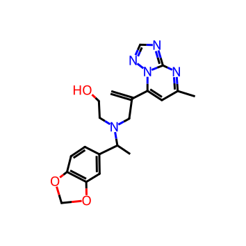 C=C(CN(CCO)C(C)c1ccc2c(c1)OCO2)c1cc(C)nc2ncnn12